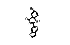 O=c1nc(-c2cc3sccc3cn2)[nH]c2ccc(Br)cc12